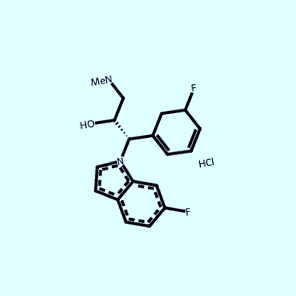 CNCC(O)[C@H](C1=CC=CC(F)C1)n1ccc2ccc(F)cc21.Cl